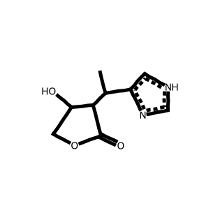 CC(c1c[nH]cn1)C1C(=O)OCC1O